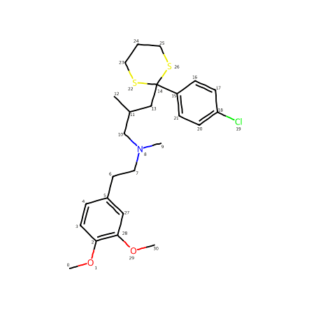 COc1ccc(CCN(C)CC(C)CC2(c3ccc(Cl)cc3)SCCCS2)cc1OC